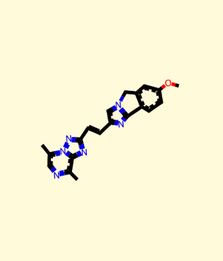 COc1ccc2c(c1)Cn1cc(C=Cc3nc4c(C)ncc(C)n4n3)nc1-2